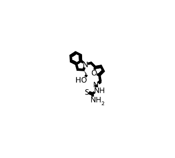 NC(=S)NN=Cc1ccc(CN2c3ccccc3C[C@H]2CO)o1